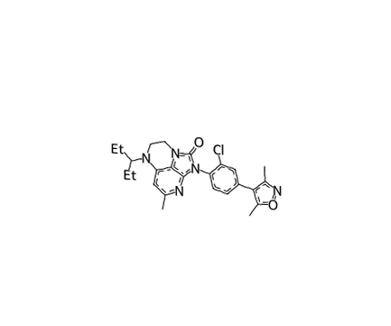 CCC(CC)N1CCn2c(=O)n(-c3ccc(-c4c(C)noc4C)cc3Cl)c3nc(C)cc1c32